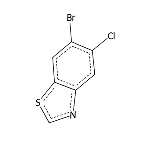 Clc1cc2ncsc2cc1Br